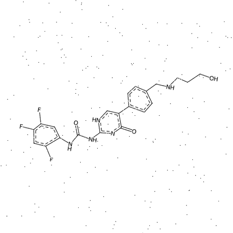 O=C(Nc1nc(=O)c(-c2ccc(CNCCCO)cc2)c[nH]1)Nc1cc(F)c(F)cc1F